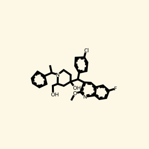 COc1nc2ccc(F)cc2cc1C(c1ccc(Cl)cc1)C1(O)CCN(C(C)c2ccccc2)C(CO)C1